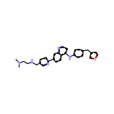 CN(C)CCNCc1ccc(-c2ccc3c(Nc4ccc(Cc5ccoc5)cc4)ccnc3c2)nc1